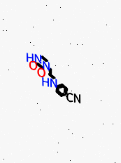 N#Cc1ccc(NCCCN2CCNC(=O)C2=O)cc1